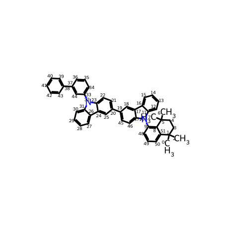 CC1(C)CCC(C)(C)c2c(-n3c4ccccc4c4cc(-c5ccc6c(c5)c5ccccc5n6-c5cccc(-c6ccccc6)c5)ccc43)cccc21